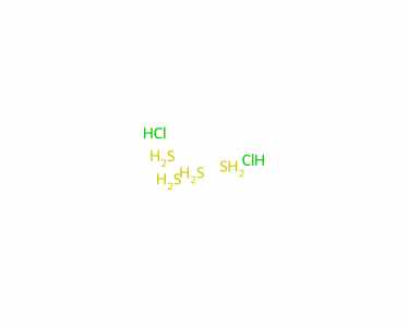 Cl.Cl.S.S.S.S